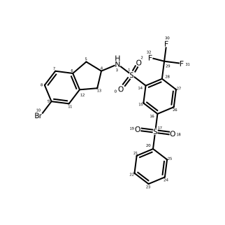 O=S(=O)(NC1Cc2ccc(Br)cc2C1)c1cc(S(=O)(=O)c2ccccc2)ccc1C(F)(F)F